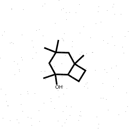 CC1(C)CC(C)(O)C2CCC2(C)C1